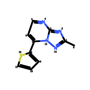 Cc1nc2nccc(-c3cccs3)n2n1